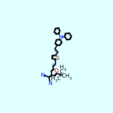 CC(C)(C)C1=CC(=C(C#N)C#N)C=C(/C=C/c2ccc(/C=C/c3ccc(N(c4ccccc4)c4ccccc4)cc3)s2)O1